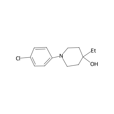 CCC1(O)CCN(c2ccc(Cl)cc2)CC1